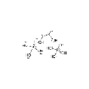 CC(O)CO.O=P(O)(O)O.O=P(O)(O)O